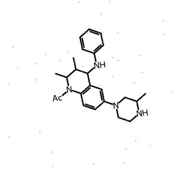 CC(=O)N1c2ccc(N3CCNC(C)C3)cc2C(Nc2ccccc2)C(C)C1C